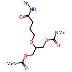 CNC(=O)OCC(COC(=O)NC)OCCCC(=O)NC(C)C